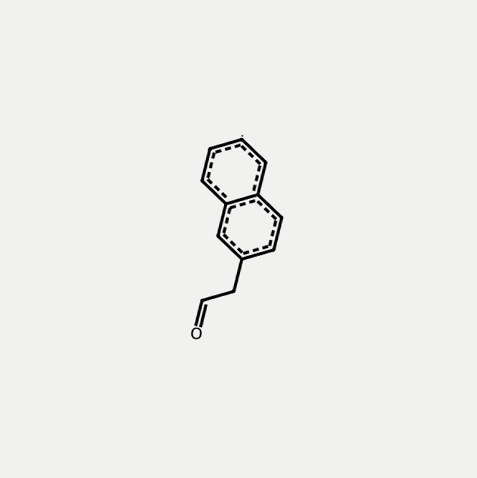 O=CCc1ccc2c[c]ccc2c1